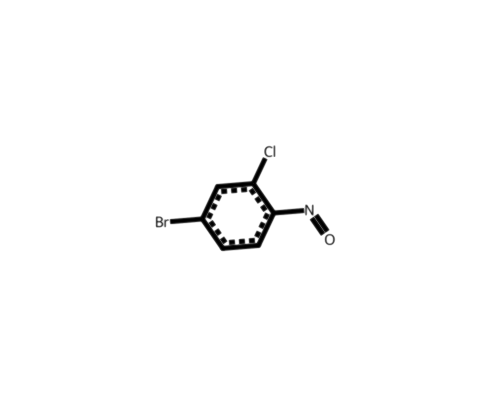 O=Nc1ccc(Br)cc1Cl